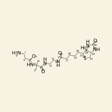 CC(C)(NC(=O)CCN)C(=O)NCCNC(=O)CCCCC1SCC2NC(=O)N[C@@H]21